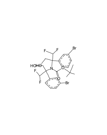 CC(C)(C)OC(=O)N(C(CO)(c1cccc(Br)c1)C(F)F)C(CO)(c1cccc(Br)c1)C(F)F